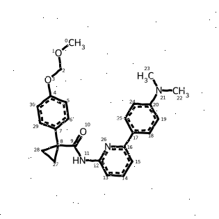 COCOc1ccc(C2(C(=O)Nc3cccc(-c4ccc(N(C)C)cc4)n3)CC2)cc1